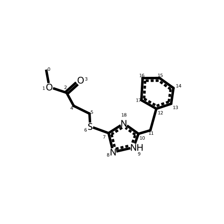 COC(=O)CCSc1n[nH]c(Cc2ccccc2)n1